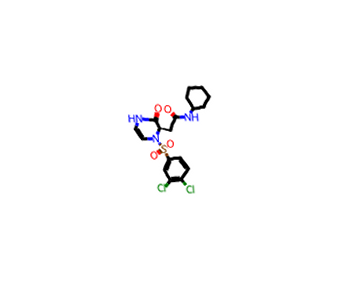 O=C(C[C@@H]1C(=O)NC=CN1S(=O)(=O)c1ccc(Cl)c(Cl)c1)NC1CCCCC1